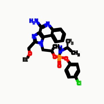 CCOCc1nc2c(N)nc3ccccc3c2n1C[C@@H](C)OP(=O)(N[C@@H](C)C(F)(F)F)Oc1ccc(Cl)cc1